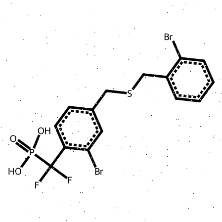 O=P(O)(O)C(F)(F)c1ccc(CSCc2ccccc2Br)cc1Br